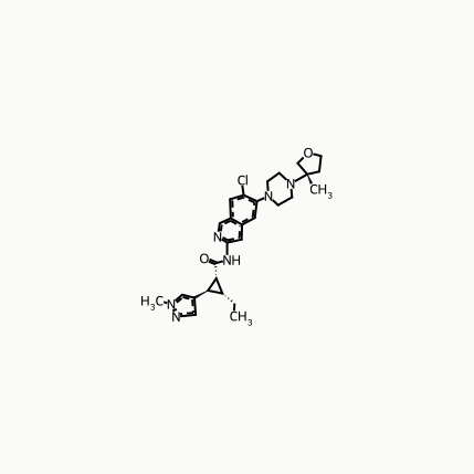 CC[C@H]1[C@@H](C(=O)Nc2cc3cc(N4CCN([C@@]5(C)CCOC5)CC4)c(Cl)cc3cn2)[C@@H]1c1cnn(C)c1